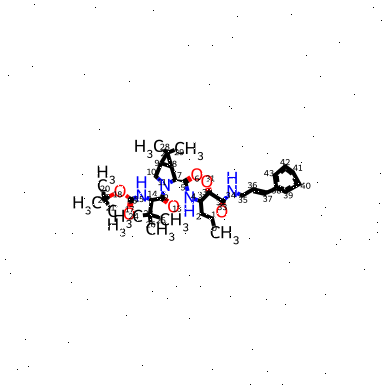 CCCC(NC(=O)[C@@H]1C2C(CN1C(=O)C(NC(=O)OC(C)(C)C)C(C)(C)C)C2(C)C)C(=O)C(=O)NC/C=C/c1ccccc1